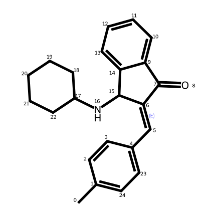 Cc1ccc(/C=C2/C(=O)c3ccccc3C2NC2CCCCC2)cc1